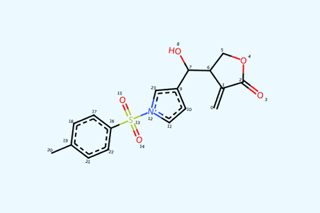 C=C1C(=O)OCC1C(O)c1ccn(S(=O)(=O)c2ccc(C)cc2)c1